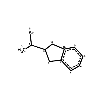 CC(=O)C(C)C1Cc2ccccc2C1